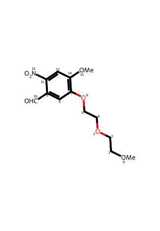 COCCOCCOc1cc(C=O)c([N+](=O)[O-])cc1OC